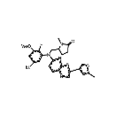 CCc1cc(OC)c(F)c(N(CC2CCC(=O)N2C)c2ccc3ncc(-c4cnn(C)c4)nc3n2)c1